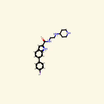 O=C(NCCNC1CCNCC1)c1cc2ccc(-c3ccc(I)cc3)cc2[nH]1